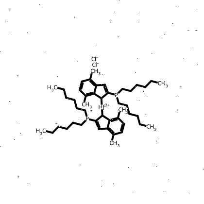 CCCCCCP(CCCCCC)C1=Cc2c(C)ccc(C)c2[CH]1[Hf+2][CH]1C(P(CCCCCC)CCCCCC)=Cc2c(C)ccc(C)c21.[Cl-].[Cl-]